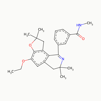 CCOc1cc2c(c3c1OC(C)(C)C3)C(c1cccc(C(=O)NC)c1)=NC(C)(C)C2